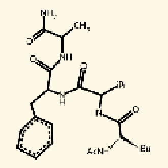 CC[C@H](C)[C@H](NC(C)=O)C(=O)NC(C(=O)NC(Cc1ccccc1)C(=O)NC(C)C(N)=O)C(C)C